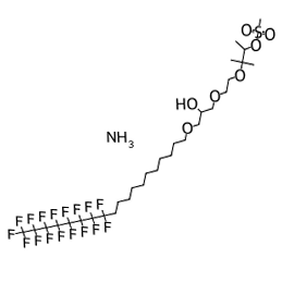 CC(OS(C)(=O)=O)C(C)(C)OCCOCC(O)COCCCCCCCCCCCC(F)(F)C(F)(F)C(F)(F)C(F)(F)C(F)(F)C(F)(F)C(F)(F)C(F)(F)F.N